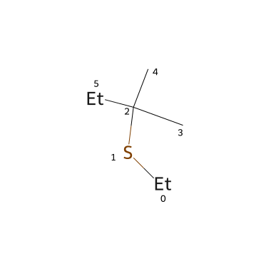 [CH2]CSC(C)(C)CC